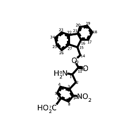 NC(Cc1ccc(C(=O)O)cc1[N+](=O)[O-])C(=O)OCC1c2ccccc2-c2ccccc21